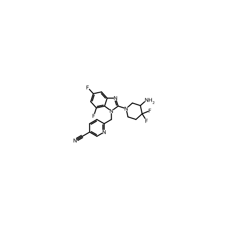 N#Cc1ccc(Cn2c(N3CCC(F)(F)C(N)C3)nc3cc(F)cc(F)c32)nc1